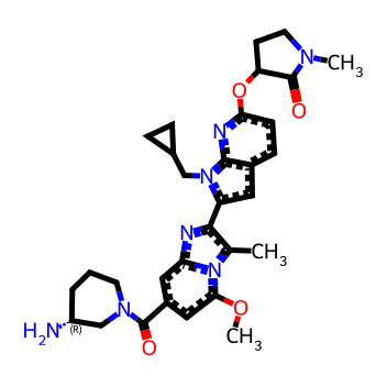 COc1cc(C(=O)N2CCC[C@@H](N)C2)cc2nc(-c3cc4ccc(OC5CCN(C)C5=O)nc4n3CC3CC3)c(C)n12